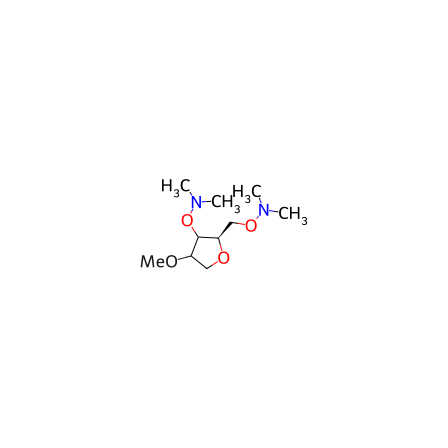 COC1CO[C@H](CON(C)C)C1ON(C)C